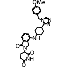 COc1ccc(Cn2cnnc2C2CCC(Nc3cccc4c3CN(C3CCC(=O)NC3=O)C4=O)CC2)cc1